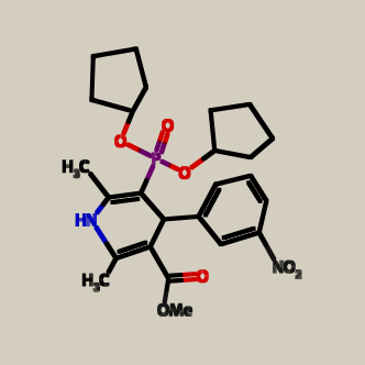 COC(=O)C1=C(C)NC(C)=C(P(=O)(OC2CCCC2)OC2CCCC2)C1c1cccc([N+](=O)[O-])c1